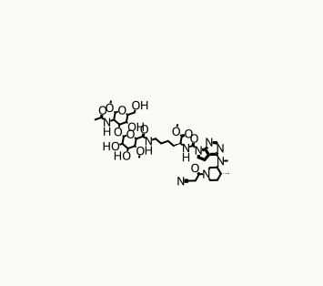 COC(=O)[C@H](CCCCNC(=O)C1O[C@@H](OC2C(NC(C)=O)[C@H](OC)OC(CO)[C@H]2O)C(O)C(O)[C@@H]1OC)NC(=O)n1ccc2c(N(C)C3CN(C(=O)CC#N)CC[C@H]3C)ncnc21